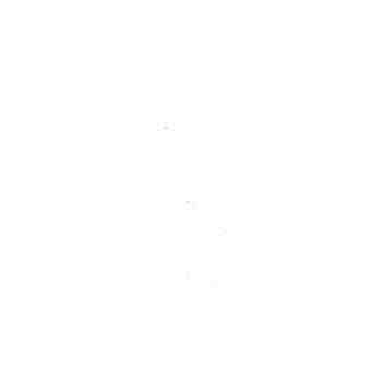 O=CCN(C(=O)c1ccccc1C(=O)O)c1ccccc1